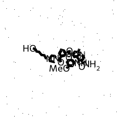 COc1cccc(Nc2c(C(N)=O)cnc3c(C)cc(S(=O)(=O)c4cccc(C(=O)N5CCN(CCCCCCO)CC5)c4)cc23)c1